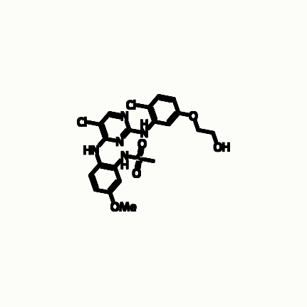 COc1ccc(Nc2nc(Nc3cc(OCCO)ccc3Cl)ncc2Cl)c(NS(C)(=O)=O)c1